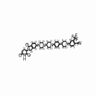 N#Cc1ccc(N2CCC(c3ccc(N4CCC(N5CCN(c6ccc7c(c6)CN(C6CCC(=O)NC6=O)C7=O)CC5)CC4)cc3)CC2)cc1C(F)(F)F